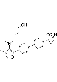 Cc1noc(-c2ccc(-c3ccc(C4(C(=O)O)CC4)cc3)cc2)c1N(C)CCCCO